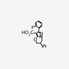 CC(C)C1COc2c(C(=O)O)c(-c3ccccc3F)nn2C1